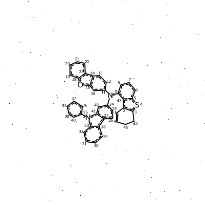 C1=Cc2c(sc3cccc(N(c4ccc5c(c4)oc4ccccc45)c4ccc5c6ccccc6n(-c6ccccc6)c5c4)c23)CC1